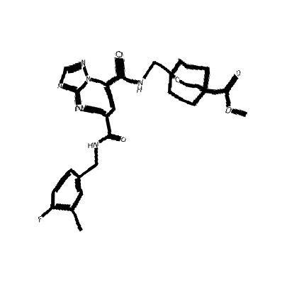 COC(=O)C12CCC(CNC(=O)c3cc(C(=O)NCc4ccc(F)c(C)c4)nc4ncnn34)(CC1)CC2